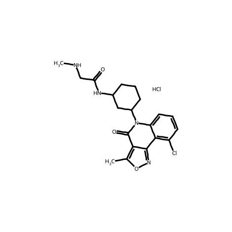 CNCC(=O)NC1CCCC(n2c(=O)c3c(C)onc3c3c(Cl)cccc32)C1.Cl